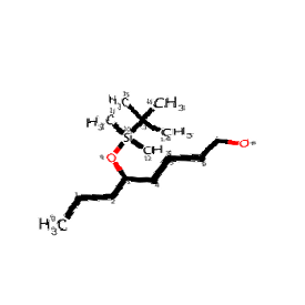 CCCC(CCCC[O])O[Si](C)(C)C(C)(C)C